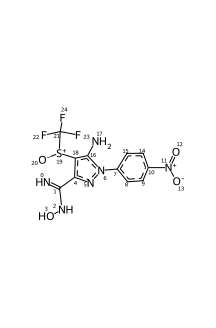 N=C(NO)c1nn(-c2ccc([N+](=O)[O-])cc2)c(N)c1[S+]([O-])C(F)(F)F